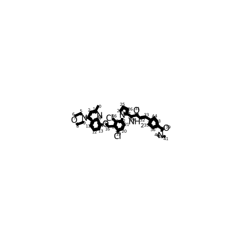 Cc1cc(N2CCOCC2)c2cccc(OCc3c(Cl)ccc(-n4cccc4C(N)C(=O)/C=C/c4ccc(C(=O)N(C)C)cc4)c3Cl)c2n1